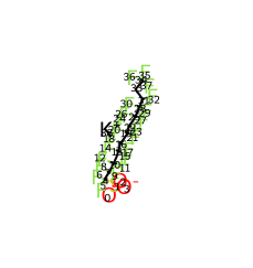 O=S(=O)([O-])C(F)(F)C(F)(F)C(F)(F)C(F)(F)C(F)(F)C(F)(F)C(F)(F)C(F)(F)C(F)(F)C(F)CC(F)(F)F.[K+]